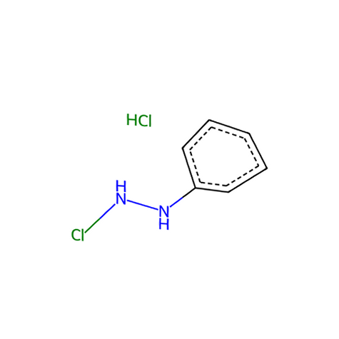 Cl.ClNNc1ccccc1